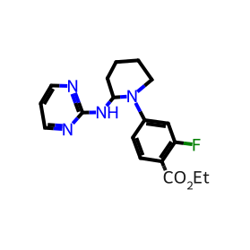 CCOC(=O)c1ccc(N2CCCCC2Nc2ncccn2)cc1F